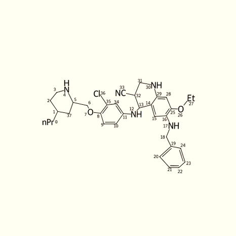 CCCC1CCNC(COc2ccc(NC3c4cc(NCc5ccccc5)c(OCC)cc4NCC3C#N)cc2Cl)C1